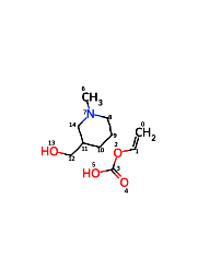 C=COC(=O)O.CN1CCCC(CO)C1